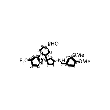 COc1ccc(CN[C@@H]2CC[C@](C(C)C)(C3CN(C=O)CCN3c3cc(C(F)(F)F)ccn3)C2)cc1OC